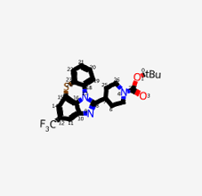 CC(C)(C)OC(=O)N1CCC(c2nc3cc(C(F)(F)F)cc4c3n2-c2ccccc2S4)CC1